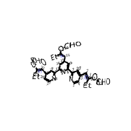 CC/C(=C\c1ccnc(-c2cc(/C=C(\CC)OC=O)cc(-c3cc(/C=C(\CC)OC=O)ccn3)n2)c1)OC=O